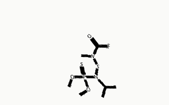 COP(=S)(OC)N(SN(C)C(=O)F)C(C)C